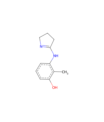 Cc1c(O)cccc1NC1=NCCC1